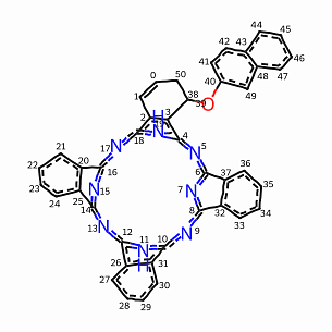 C1=Cc2c(c3nc4nc(nc5[nH]c(nc6nc(nc2[nH]3)-c2ccccc2-6)c2ccccc52)-c2ccccc2-4)C(Oc2ccc3ccccc3c2)C1